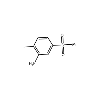 Cc1ccc(S(=O)(=O)C(C)C)cc1P